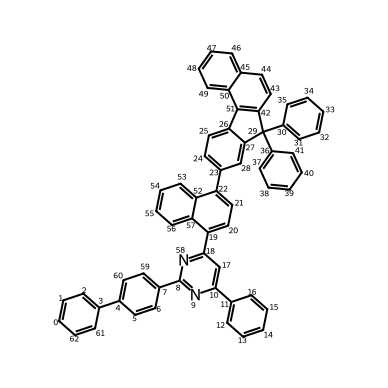 c1ccc(-c2ccc(-c3nc(-c4ccccc4)cc(-c4ccc(-c5ccc6c(c5)C(c5ccccc5)(c5ccccc5)c5ccc7ccccc7c5-6)c5ccccc45)n3)cc2)cc1